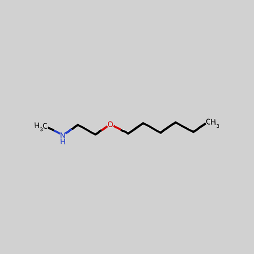 CCCCCCOCCNC